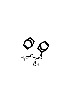 C1=CC2CCC1C2.COP(O)OC1CC2C=CC1C2